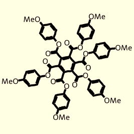 COc1ccc(OC(=O)c2c(C(=O)Oc3ccc(OC)cc3)c(C(=O)Oc3ccc(OC)cc3)c(C(=O)Oc3ccc(OC)cc3)c(C(=O)Oc3ccc(OC)cc3)c2C(=O)Oc2ccc(OC)cc2)cc1